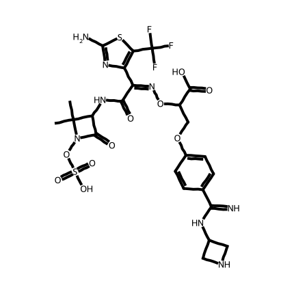 CC1(C)C(NC(=O)C(=NOC(COc2ccc(C(=N)NC3CNC3)cc2)C(=O)O)c2nc(N)sc2C(F)(F)F)C(=O)N1OS(=O)(=O)O